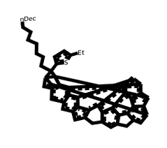 CCCCCCCCCCCCCCCCCC1(c2ccc(CC)s2)C23C=c4cc5cc6cc7c8c6c6c5c5c4C21c1c2c(cc4c9c%10c(cc(c%11c%10c%10c(c1c5c6c%10c8%11)c29)C7)C4)C3